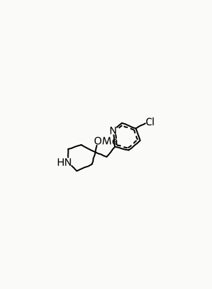 COC1(Cc2ccc(Cl)cn2)CCNCC1